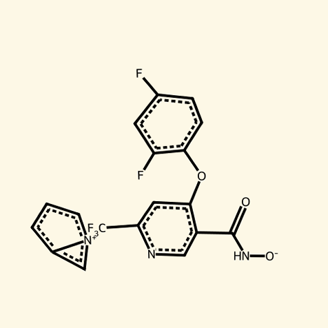 O=C(N[O-])c1cnc(C(F)(F)F)cc1Oc1ccc(F)cc1F.c1cc2c[n+]-2c1